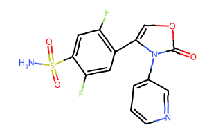 NS(=O)(=O)c1cc(F)c(-c2coc(=O)n2-c2cccnc2)cc1F